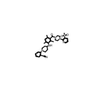 Cc1cc(C)c(C(=O)N2CCN(c3ncccc3S(C)(=O)=O)CC2)c(C)c1NC1CCN(c2ccccc2C#N)CC1